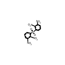 O=[N+]([O-])c1cccc(S(=O)(=O)c2cccc([N+](=O)[O-])c2[N+](=O)[O-])c1[N+](=O)[O-]